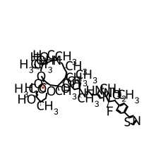 CC[C@H]1OC(=O)[C@H](C)[C@@H](O[C@H]2C[C@H](C)[C@@H](O)[C@H](C)O2)[C@H](C)[C@@H](O[C@H]2C[C@@H](N(C)CC/C(=C/N(N)[C@H](CF)[C@H](OC)c3ccc(-c4cncs4)cc3)NC)C[C@@H](C)O2)[C@](C)(O)C[C@@H](C)CN(C)[C@H](C)[C@@H](O)[C@]1(C)O